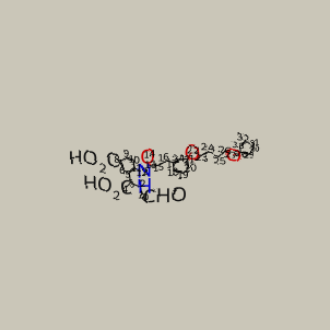 O=CCCC(C(=O)O)c1cc(C(=O)O)ccc1NC(=O)CCc1cccc(OCCCCOc2ccccc2)c1